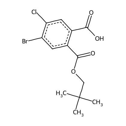 CC(C)(C)COC(=O)c1cc(Br)c(Cl)cc1C(=O)O